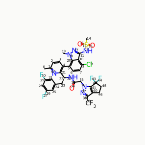 Cc1ccc(-c2ccc(Cl)c3c(NS(C)(=O)=O)nn(C)c23)c([C@H](Cc2cc(F)cc(F)c2)NC(=O)Cn2nc(C(F)(F)F)c3c2C(F)(F)CC3)n1